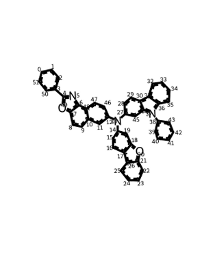 c1ccc(-c2nc3c(ccc4cc(N(c5ccc6c(c5)oc5ccccc56)c5ccc6c7ccccc7n(-c7ccccc7)c6c5)ccc43)o2)cc1